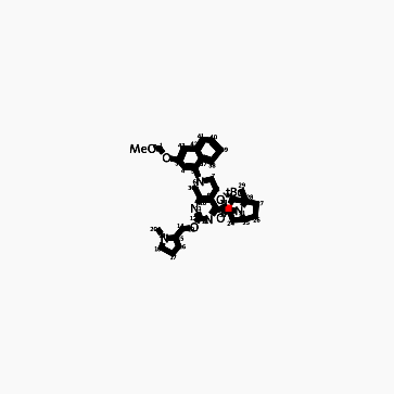 COCOc1cc(N2CCc3c(nc(OCC4CCCN4C)nc3N3CC4CCC(C)(C3)N4C(=O)OC(C)(C)C)C2)c2ccccc2c1